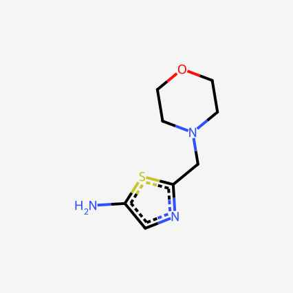 Nc1cnc(CN2CCOCC2)s1